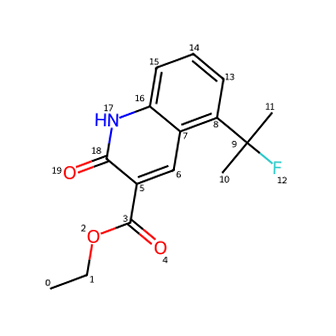 CCOC(=O)c1cc2c(C(C)(C)F)cccc2[nH]c1=O